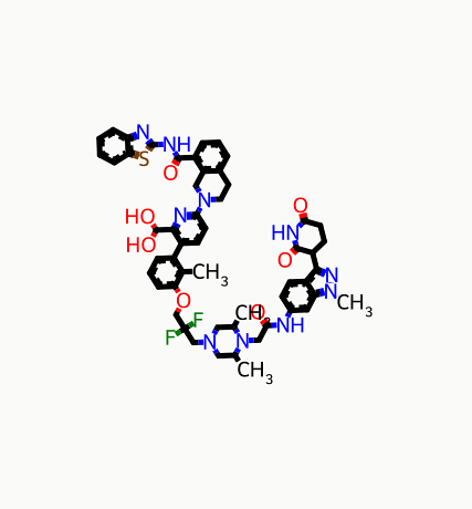 Cc1c(OCC(F)(F)CN2CC(C)N(CC(=O)Nc3ccc4c(C5CCC(=O)NC5=O)nn(C)c4c3)C(C)C2)cccc1-c1ccc(N2CCc3cccc(C(=O)Nc4nc5ccccc5s4)c3C2)nc1C(O)O